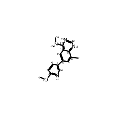 COc1ccc(-c2cc(C)c3ncnc(N(C)C)c3c2)cn1